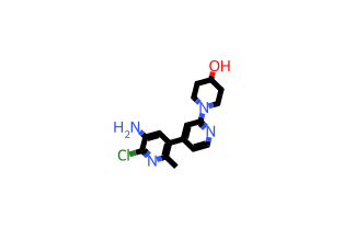 Cc1nc(Cl)c(N)cc1-c1ccnc(N2CCC(O)CC2)c1